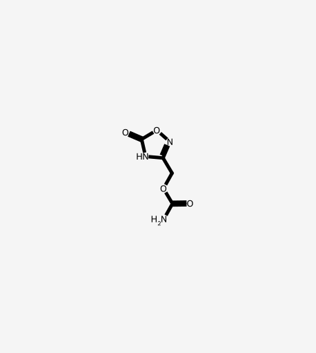 NC(=O)OCc1noc(=O)[nH]1